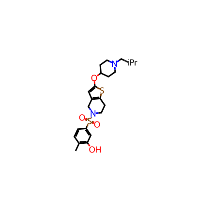 Cc1ccc(S(=O)(=O)N2CCc3sc(OC4CCN(CC(C)C)CC4)cc3C2)cc1O